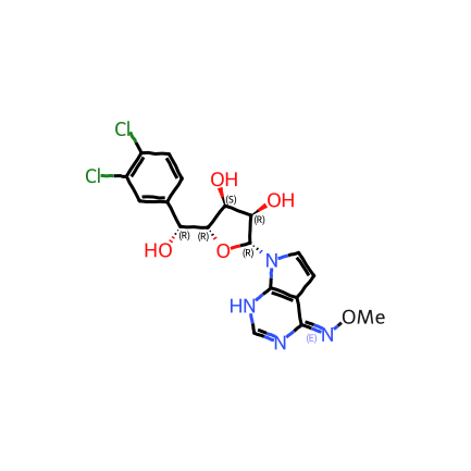 CO/N=c1/nc[nH]c2c1ccn2[C@@H]1O[C@H]([C@H](O)c2ccc(Cl)c(Cl)c2)[C@@H](O)[C@H]1O